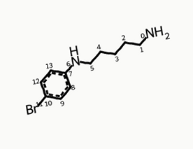 NCCCCCNc1ccc(Br)cc1